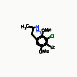 CCc1c(OC)cc(CC(C)N)c(OC)c1Cl